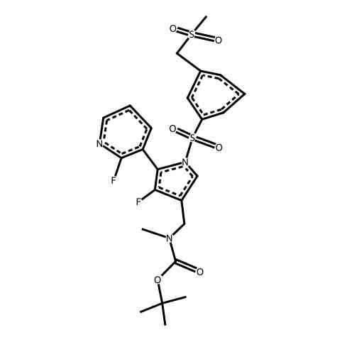 CN(Cc1cn(S(=O)(=O)c2cccc(CS(C)(=O)=O)c2)c(-c2cccnc2F)c1F)C(=O)OC(C)(C)C